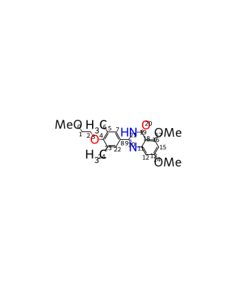 COCCOc1c(C)cc(-c2nc3cc(OC)cc(OC)c3c(=O)[nH]2)cc1C